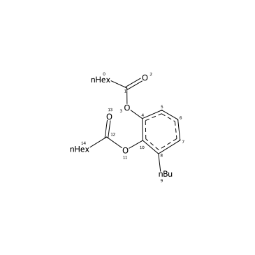 CCCCCCC(=O)Oc1cccc(CCCC)c1OC(=O)CCCCCC